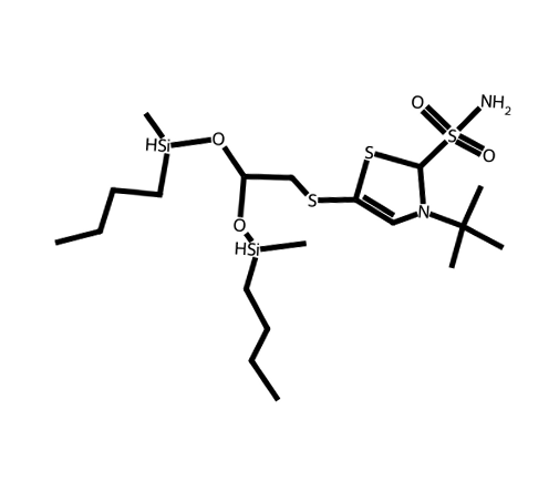 CCCC[SiH](C)OC(CSC1=CN(C(C)(C)C)C(S(N)(=O)=O)S1)O[SiH](C)CCCC